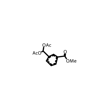 COC(=O)c1cccc(C(OC(C)=O)OC(C)=O)c1